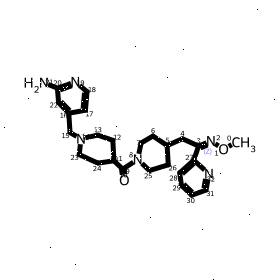 CO/N=C(/CC1CCN(C(=O)C2CCN(Cc3ccnc(N)c3)CC2)CC1)c1ccccn1